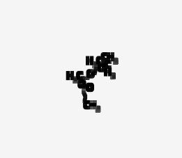 CCCCC(=O)OC(C)COCCOC(C)(C)C